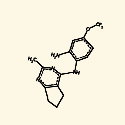 Cc1nc2c(c(Nc3ccc(OC(F)(F)F)cc3N)n1)CCC2